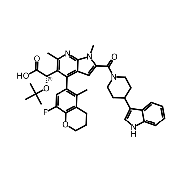 Cc1nc2c(cc(C(=O)N3CCC(c4c[nH]c5ccccc45)CC3)n2C)c(-c2cc(F)c3c(c2C)CCCO3)c1[C@H](OC(C)(C)C)C(=O)O